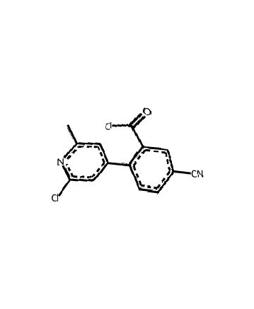 Cc1cc(-c2ccc(C#N)cc2C(=O)Cl)cc(Cl)n1